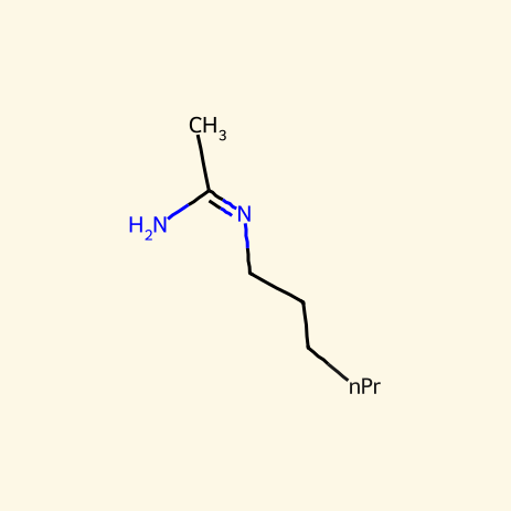 CCCCCCN=C(C)N